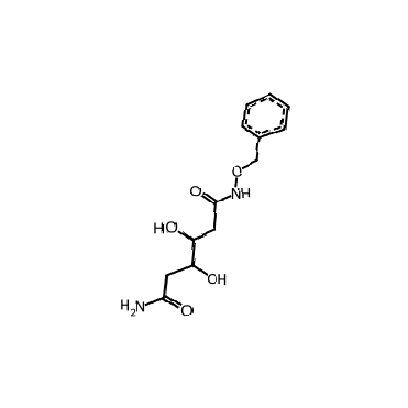 NC(=O)CC(O)C(O)CC(=O)NOCc1ccccc1